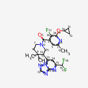 Cc1cc(C(=O)N2CCC(C)(C)[C@H](c3cc(C(F)F)nc4ncnn34)C2)c(F)c(OC2CC2)n1